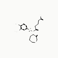 COc1ccc(S(=O)(=O)N(C(=O)CCCC(N)=O)[C@H]2CCCNCC2=O)cc1OC